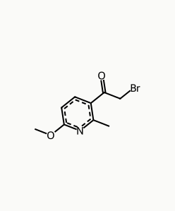 COc1ccc(C(=O)CBr)c(C)n1